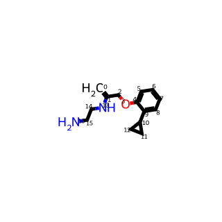 C=C(COc1ccccc1C1CC1)NCCN